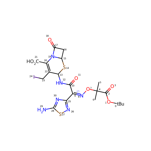 CC(C)(C)OC(=O)C(C)(C)O/N=C(\C(=O)NC1SC2CC(=O)N2C(C(=O)O)=C1CI)c1nsc(N)n1